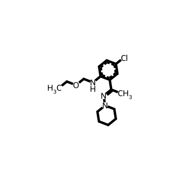 CCOCNc1ccc(Cl)cc1/C(C)=N/N1CCCCC1